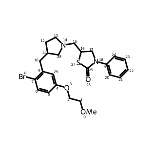 COCCOc1ccc(Br)c(CC2CCN(CC3CN(c4ccccc4)C(=O)S3)C2)c1